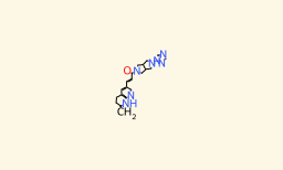 C=C1CCc2cc(/C=C/C(=O)N3CC4CN(n5cncn5)CC4C3)cnc2N1